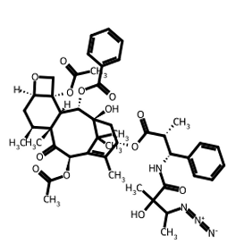 CC(=O)O[C@H]1C(=O)[C@@]2(C)[C@H]([C@H](OC(=O)c3ccccc3)[C@]3(O)C[C@H](OC(=O)[C@H](C)[C@@H](NC(=O)C(C)(O)C(C)N=[N+]=[N-])c4ccccc4)C(C)=C1C3(C)C)[C@]1(OC(C)=O)CO[C@@H]1C[C@@H]2C